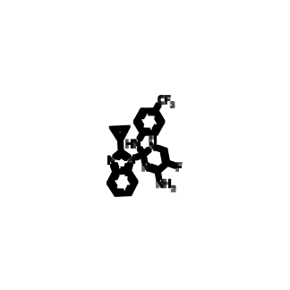 NC1=NC(Nc2ccc(C(F)(F)F)cc2)(n2c(C3CC3)nc3ccccc32)NC=C1F